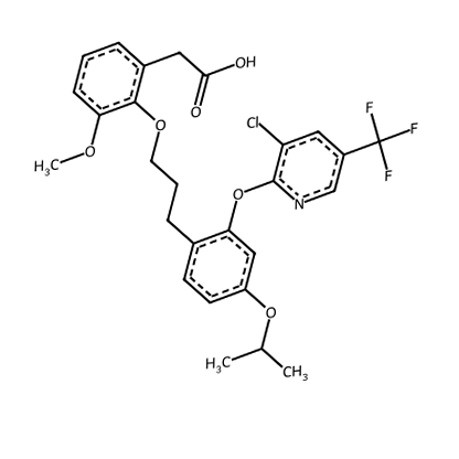 COc1cccc(CC(=O)O)c1OCCCc1ccc(OC(C)C)cc1Oc1ncc(C(F)(F)F)cc1Cl